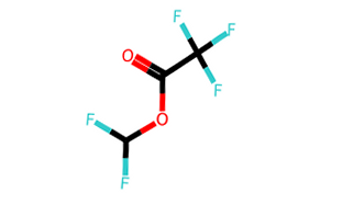 O=C(OC(F)F)C(F)(F)F